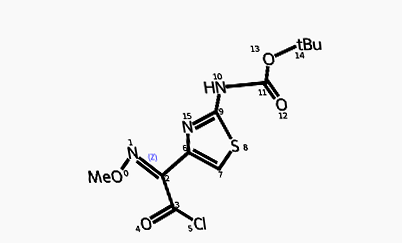 CO/N=C(\C(=O)Cl)c1csc(NC(=O)OC(C)(C)C)n1